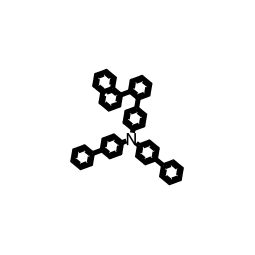 c1ccc(-c2ccc(N(c3ccc(-c4ccccc4)cc3)c3ccc(-c4ccccc4-c4cccc5ccccc45)cc3)cc2)cc1